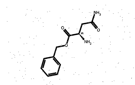 NC(=O)C[C@@H](N)C(=O)OCc1ccccc1